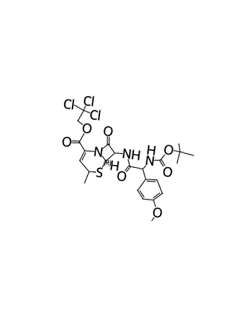 COc1ccc(C(NC(=O)OC(C)(C)C)C(=O)NC2C(=O)N3C(C(=O)OCC(Cl)(Cl)Cl)=CC(C)S[C@H]23)cc1